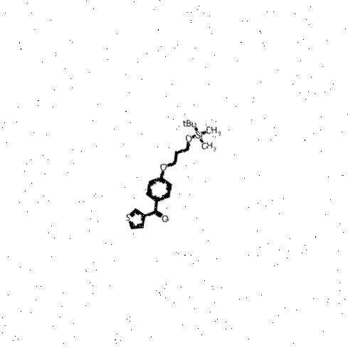 CC(C)(C)[Si](C)(C)OCCCOc1ccc(C(=O)c2ccsc2)cc1